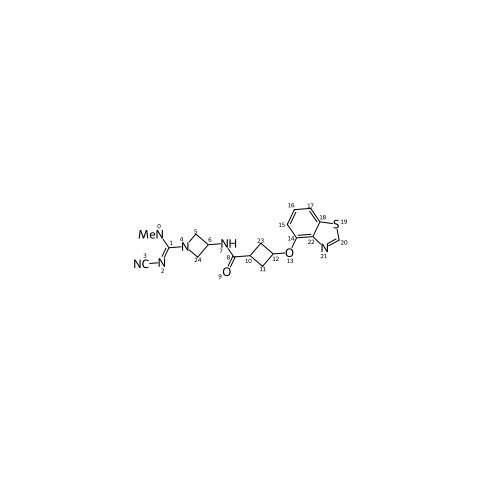 CNC(=NC#N)N1CC(NC(=O)C2CC(Oc3cccc4scnc34)C2)C1